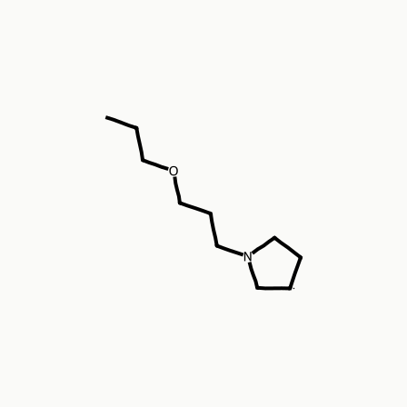 CCCOCCCN1C[CH]CC1